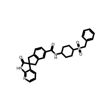 O=C(NC1CCC(S(=O)(=O)Cc2ccccc2)CC1)c1ccc2c(c1)CC1(C2)C(=O)Nc2ncccc21